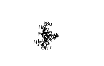 C[C@H]1CC(F)(F)CN1C(=O)c1nc(C(=O)NC(C)(C)CO)sc1-c1cnc(NCC(C)(C)C)cc1C(F)F